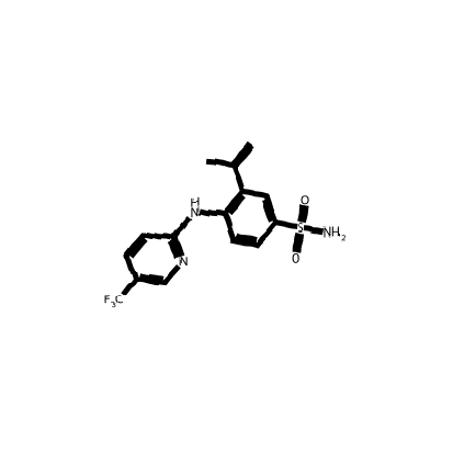 C=C(C)c1cc(S(N)(=O)=O)ccc1Nc1ccc(C(F)(F)F)cn1